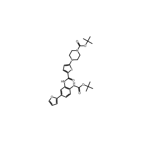 CC(C)(C)OC(=O)Nc1ccc(-c2ccco2)cc1NC(=O)c1ccc(N2CCN(C(=O)OC(C)(C)C)CC2)s1